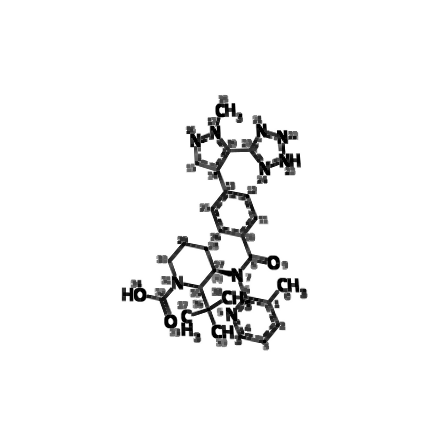 Cc1cccnc1N(C(=O)c1ccc(-c2cnn(C)c2-c2nn[nH]n2)cc1)[C@@H]1CCCN(C(=O)O)C1C(C)(C)C